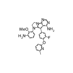 COc1c(N)cccc1N1CCn2c1c(-c1ccc(Oc3cccc(C)n3)c(F)c1)c1c(N)ncnc12